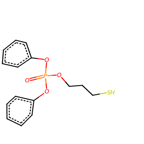 O=P(OCCCS)(Oc1ccccc1)Oc1ccccc1